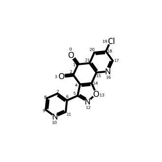 O=C1C(=O)c2c(-c3cccnc3)noc2-c2ncc(Cl)cc21